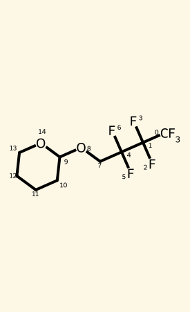 FC(F)(F)C(F)(F)C(F)(F)COC1CCCCO1